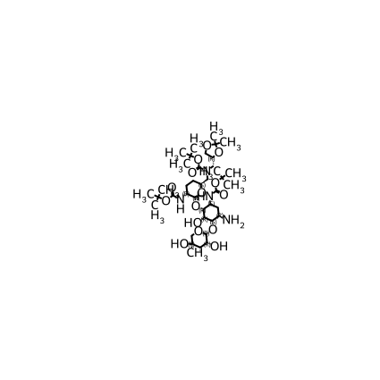 CC(C)(C)OC(=O)N[C@H]1C[C@@H](N)[C@H](O[C@H]2OC[C@](C)(O)[CH][C@H]2O)[C@@H](O)[C@@H]1O[C@H]1O[C@H](CN(C[C@@H]2COC(C)(C)O2)C(=O)OC(C)(C)C)CC[C@H]1NC(=O)OC(C)(C)C